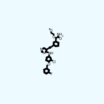 COCCOC(C(N)=O)c1cccc(C#Cc2cncnc2Nc2ccc(OCc3cccc(F)c3)c(Cl)c2)c1